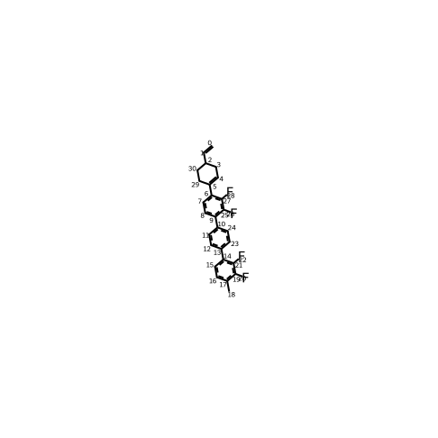 C=CC1CC=C(c2ccc(-c3ccc(-c4ccc(C)c(F)c4F)cc3)c(F)c2F)CC1